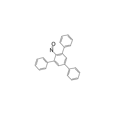 O=Nc1c(-c2ccccc2)cc(-c2ccccc2)cc1-c1ccccc1